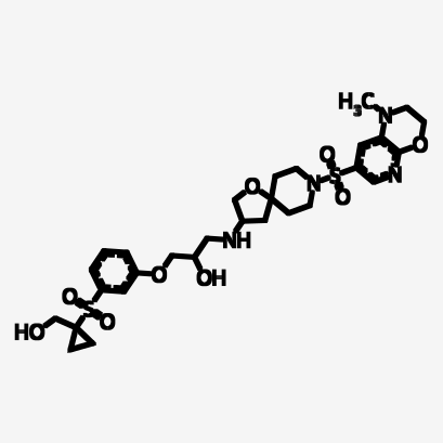 CN1CCOc2ncc(S(=O)(=O)N3CCC4(CC3)CC(NCC(O)COc3cccc(S(=O)(=O)C5(CO)CC5)c3)CO4)cc21